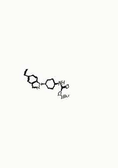 C=Cc1ccc2c(cnn2C2CCC(NC(=O)OC(C)(C)C)CC2)c1